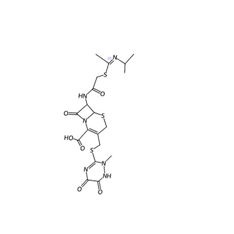 C/C(=N/C(C)C)SCC(=O)NC1C(=O)N2C(C(=O)O)=C(CSc3nc(=O)c(=O)[nH]n3C)CSC12